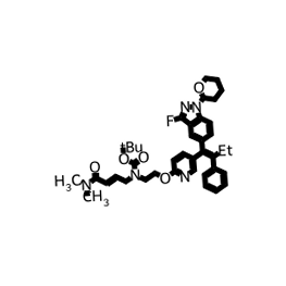 CC/C(=C(/c1ccc(OCCN(C/C=C/C(=O)N(C)C)C(=O)OC(C)(C)C)nc1)c1ccc2c(c1)c(F)nn2C1CCCCO1)c1ccccc1